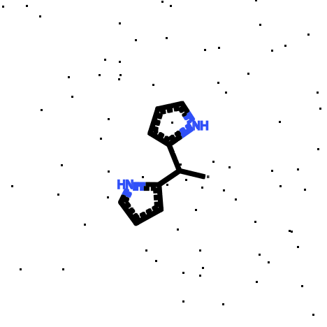 [CH2]C(c1ccc[nH]1)c1ccc[nH]1